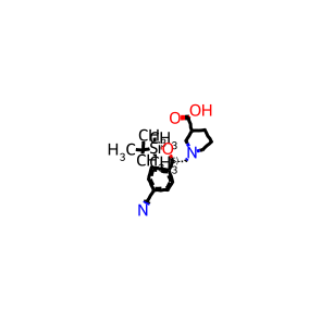 CC(C)(C)[Si](C)(C)O[C@H](CN1CCCC(C(=O)O)C1)c1ccc(C#N)cc1